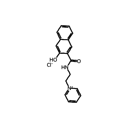 O=C(NCC[n+]1ccccc1)c1cc2ccccc2cc1O.[Cl-]